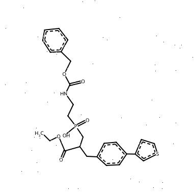 CCOC(=O)C(Cc1ccc(-c2ccsc2)cc1)CP(=O)(O)CCNC(=O)OCc1ccccc1